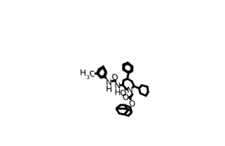 Cc1cccc(NC(=O)NC2CC(c3ccccc3)CC(C3CCCCC3)N(CC(=O)OC3C4CC5CC(C4)CC3C5)C2=O)c1